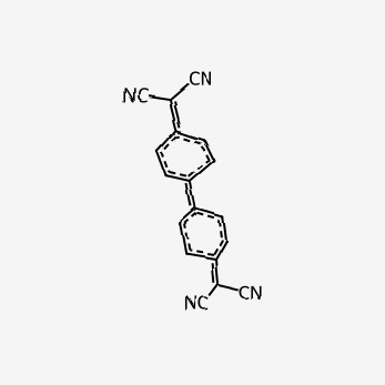 N#CC(C#N)=c1ccc(=c2ccc(=C(C#N)C#N)cc2)cc1